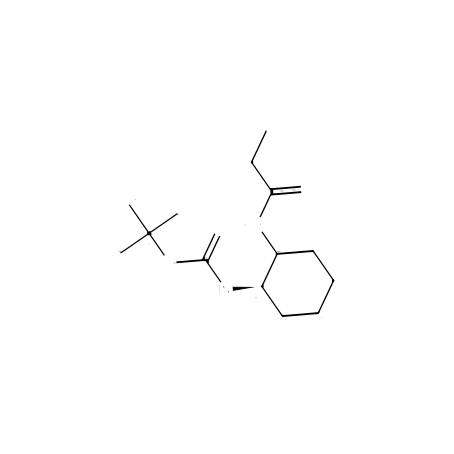 CCC(=O)OC1CCCC[C@H]1NC(=O)OC(C)(C)C